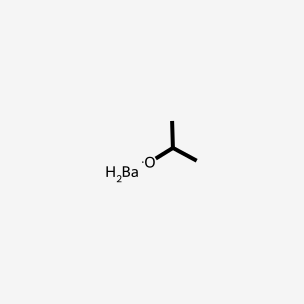 CC(C)[O].[BaH2]